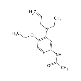 C=CCN(CC)c1cc(NC(C)=O)[c]cc1OCC